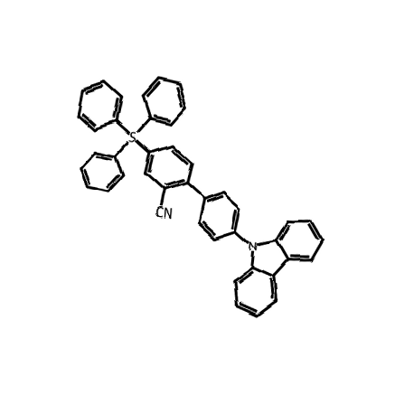 N#Cc1cc(S(c2ccccc2)(c2ccccc2)c2ccccc2)ccc1-c1ccc(-n2c3ccccc3c3ccccc32)cc1